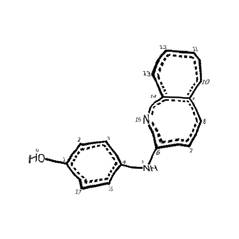 Oc1ccc(Nc2ccc3ccccc3n2)cc1